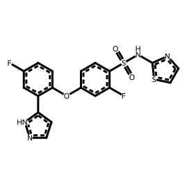 O=S(=O)(Nc1nccs1)c1ccc(Oc2ccc(F)cc2-c2ccn[nH]2)cc1F